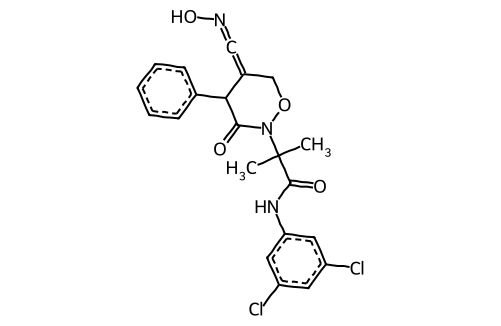 CC(C)(C(=O)Nc1cc(Cl)cc(Cl)c1)N1OCC(=C=NO)C(c2ccccc2)C1=O